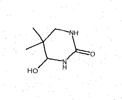 CC1(C)CNC(=O)NC1O